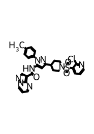 Cc1ccc(-n2nc(C3CCN(S(=O)(=O)c4cccnc4Cl)CC3)cc2NC(=O)c2cnn3cccnc23)cc1